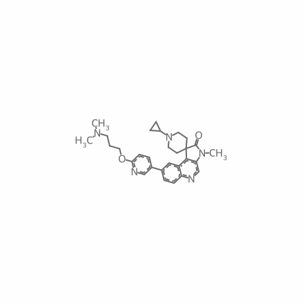 CN(C)CCCOc1ccc(-c2ccc3ncc4c(c3c2)C2(CCN(C3CC3)CC2)C(=O)N4C)cn1